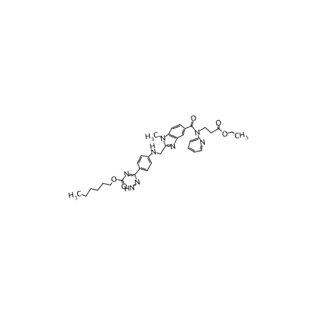 CCCCCCOC(=O)/N=C(\N=N)c1ccc(NCc2nc3cc(C(=O)N(CCC(=O)OCC)c4ccccn4)ccc3n2C)cc1